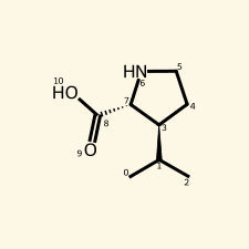 CC(C)[C@@H]1CCN[C@H]1C(=O)O